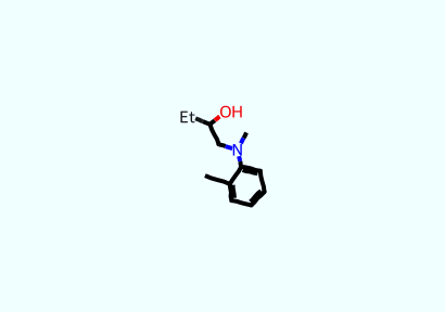 CCC(O)CN(C)c1ccccc1C